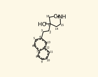 OC1([CH]Cc2ccc3ccccc3c2)CCNCC1